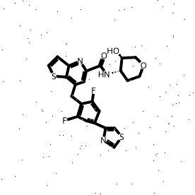 O=C(N[C@H]1CCOC[C@@H]1O)c1cc(Cc2c(F)cc(-c3cscn3)cc2F)c2sccc2n1